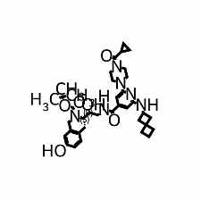 CC(C)(C)OC(=O)N1Cc2cc(O)ccc2C[C@H]1[C@H](O)CNC(=O)c1cc(NC2CC3(CCC3)C2)nc(N2CCN(C(=O)C3CC3)CC2)c1